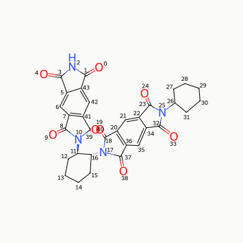 O=c1[nH]c(=O)c2cc3c(=O)n([C@@H]4CCCC[C@H]4n4c(=O)c5cc6c(=O)n(C7CCCCC7)c(=O)c6cc5c4=O)c(=O)c3cc12